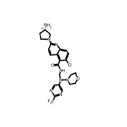 N[C@H]1CCN(c2ccc3c(C(=O)NCN(c4cnc(C(F)(F)F)nc4)N4CCOCC4)c(Cl)ccc3n2)C1